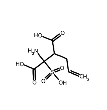 C=CCC(C(=O)O)C(N)(C(=O)O)S(=O)(=O)O